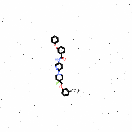 O=C(O)c1cccc(OCC2(F)CCN(c3ccc(NC(=O)c4cccc(Oc5ccccc5)c4)cn3)CC2)c1